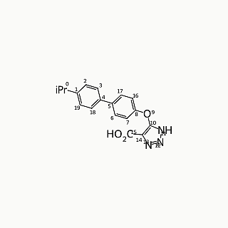 CC(C)c1ccc(-c2ccc(Oc3[nH]nnc3C(=O)O)cc2)cc1